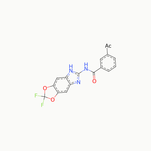 CC(=O)c1cccc(C(=O)Nc2nc3cc4c(cc3[nH]2)OC(F)(F)O4)c1